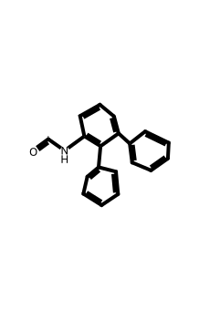 O=[C]Nc1cccc(-c2ccccc2)c1-c1ccccc1